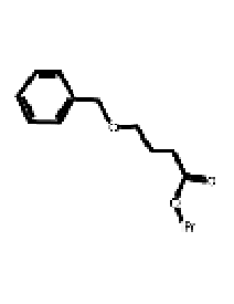 CC(C)OC(=O)CCCOCc1ccccc1